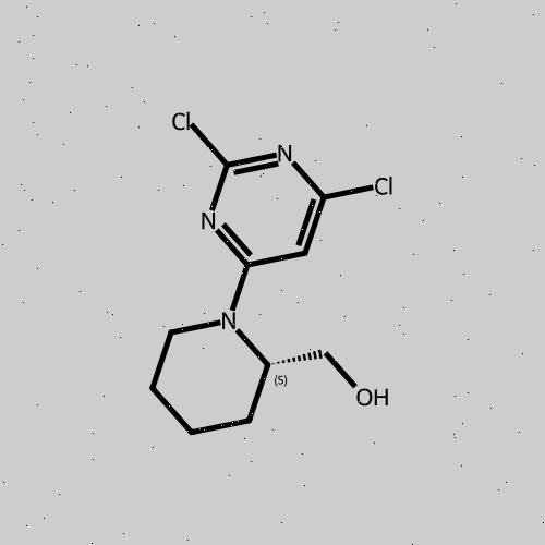 OC[C@@H]1CCCCN1c1cc(Cl)nc(Cl)n1